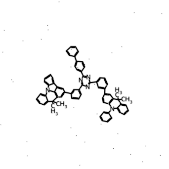 CC1(C)c2ccccc2N(c2ccccc2)c2ccc(-c3cccc(-c4nc(-c5ccc(-c6ccccc6)cc5)nc(-c5cccc(-c6cc7c8c(c6)c6ccccc6n8-c6ccccc6C7(C)C)c5)n4)c3)cc21